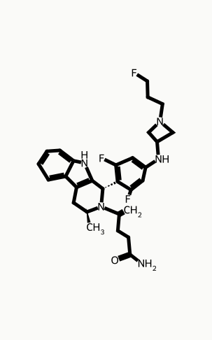 C=C(CCC(N)=O)N1[C@@H](c2c(F)cc(NC3CN(CCCF)C3)cc2F)c2[nH]c3ccccc3c2C[C@@H]1C